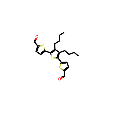 CCCCc1c(-c2ccc(C=O)s2)sc(-c2ccc(C=O)s2)c1CCCC